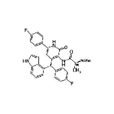 CN[C@@H](C)C(=O)Nc1c(C(c2ccc(F)cc2)c2cccc3[nH]ccc23)cc(-c2ccc(F)cc2)[nH]c1=O